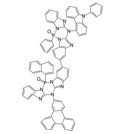 O=P1(c2ccccc2)n2c(nc3ccccc32)N(c2cccc3c2c2ccccc2n3-c2ccccc2)c2nc3cc(-c4ccc5nc6n(c5c4)P(=O)(c4cccc5ccccc45)n4c(nc5ccccc54)N6c4ccc5c6ccccc6c6ccccc6c5c4)ccc3n21